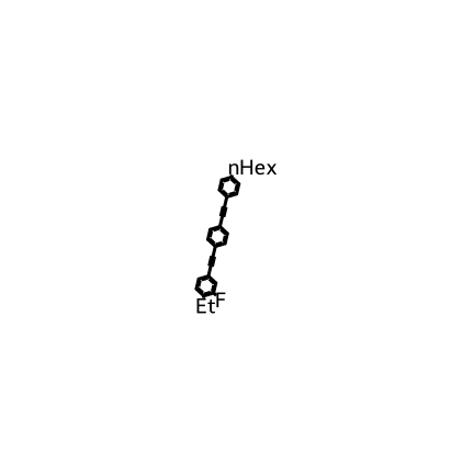 CCCCCCc1ccc(C#Cc2ccc(C#Cc3ccc(CC)c(F)c3)cc2)cc1